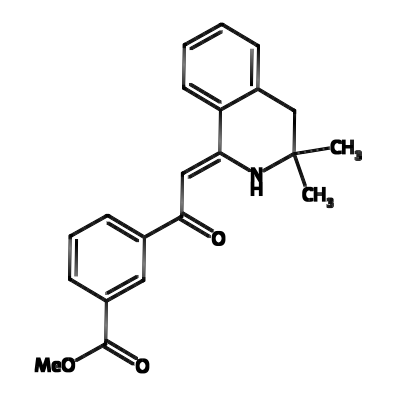 COC(=O)c1cccc(C(=O)C=C2NC(C)(C)Cc3ccccc32)c1